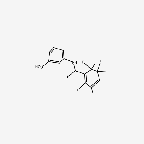 O=C(O)c1cccc(NC(F)C2=C(F)C(F)=CC(F)(F)C2(F)F)c1